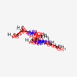 COc1cc(CC(=O)CC(=O)Cc2ccc(OC(=O)CCCC(=O)NCCNC(=O)CO[C@@H]3[C@@H](O)[C@@H](OC[C@H]4O[C@H](OC(C)C)[C@H](O)[C@@H](OCC(=O)NCCNC(=O)CCCC(=O)Oc5ccc(CC(=O)CC(=O)Cc6ccc(O)c(OC)c6)cc5OC)[C@@H]4CCC(=O)NCCN)O[C@H](COC(C)C)[C@H]3O)c(OC)c2)ccc1O